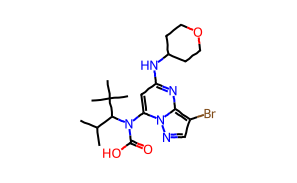 CC(C)C(N(C(=O)O)c1cc(NC2CCOCC2)nc2c(Br)cnn12)C(C)(C)C